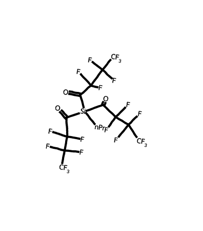 CCC[Si](C(=O)C(F)(F)C(F)(F)C(F)(F)F)(C(=O)C(F)(F)C(F)(F)C(F)(F)F)C(=O)C(F)(F)C(F)(F)C(F)(F)F